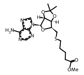 COC(=O)CCCCSC[C@H]1O[C@@H](n2cnc3c(N)ncnc32)[C@@H]2OC(C)(C)O[C@H]21